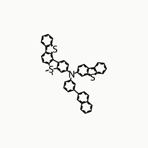 CS1(C)c2cc(N(c3cccc(-c4ccc5ccccc5c4)c3)c3ccc4c(c3)sc3ccccc34)ccc2-c2c1ccc1c2sc2ccccc21